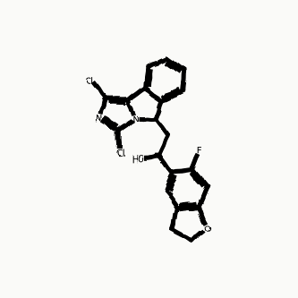 OC(CC1c2ccccc2-c2c(Cl)nc(Cl)n21)c1cc2c(cc1F)OCC2